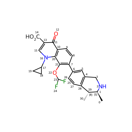 C[C@@H]1NCc2cc(-c3ccc4c(=O)c(C(=O)O)cn(C5CC5)c4c3OC(F)F)ccc2[C@H]1C